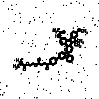 C=C(C)C(=O)OCCOC(=O)CCC(=O)N1CCN(c2ccc(C3(c4ccccc4)C=Cc4c5c(c6cc(NC(C)=O)ccc6c4O3)-c3ccc(OC)cc3C5(C)C)cc2)CC1